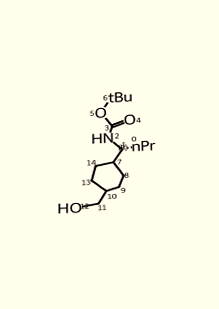 CCC[C@@H](NC(=O)OC(C)(C)C)C1CCC(CO)CC1